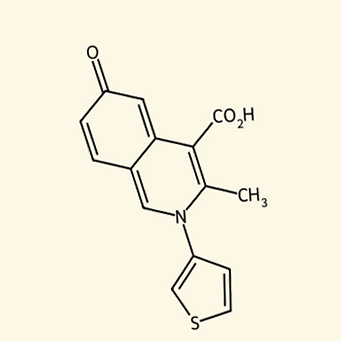 Cc1c(C(=O)O)c2cc(=O)ccc-2cn1-c1ccsc1